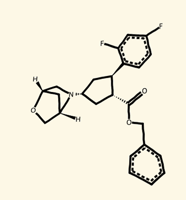 O=C(OCc1ccccc1)[C@@H]1C[C@H](N2C[C@@H]3C[C@H]2CO3)C[C@H]1c1ccc(F)cc1F